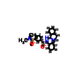 CN(C)[S+]([O-])c1cccc([S+]([O-])Nc2ccccc2N2CCc3ccccc3C2)c1